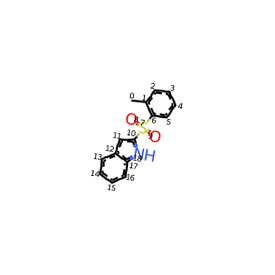 Cc1ccccc1S(=O)(=O)c1cc2ccccc2[nH]1